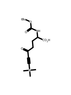 CC(C)(C)OC(=O)NC(CCC(=O)C#C[Si](C)(C)C)C(=O)O